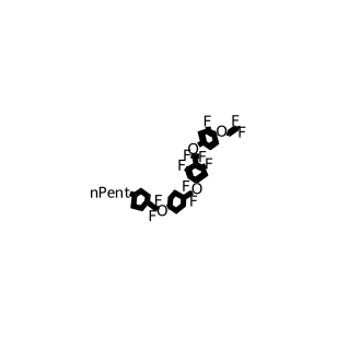 CCCCCC1CCC(C(F)(F)OC2CCC(C(F)(F)Oc3cc(F)c(C(F)(F)Oc4ccc(OC=C(F)F)c(F)c4)c(F)c3)CC2)CC1